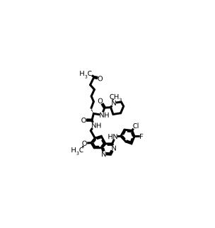 COc1cc2ncnc(Nc3ccc(F)c(Cl)c3)c2cc1CNC(=O)[C@H](CCCCCC(C)=O)NC(=O)C1CCCCN1C